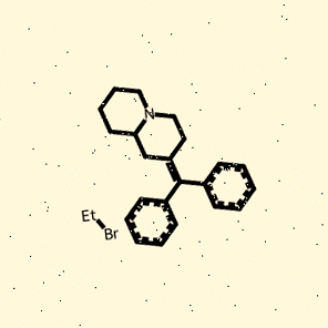 CCBr.c1ccc(C(=C2CCN3CCCCC3C2)c2ccccc2)cc1